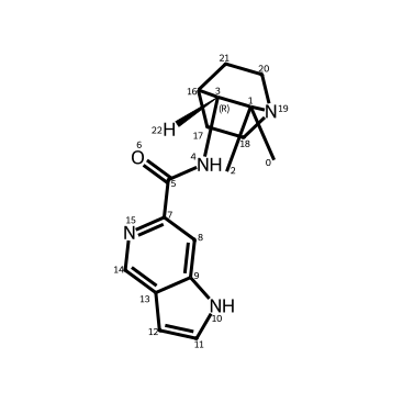 CC1(C)[C@H](NC(=O)c2cc3[nH]ccc3cn2)C2CCN1CC2